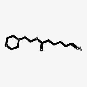 C=CCCCCC(=O)OCCN1CCOCC1